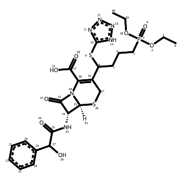 CCOP(=O)(CCCC(Sc1nnn[nH]1)C1=C(C(=O)O)N2C(=O)[C@@H](NC(=O)C(O)c3ccccc3)[C@@H]2SC1)OCC